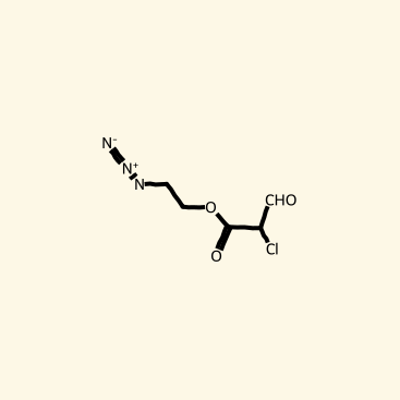 [N-]=[N+]=NCCOC(=O)C(Cl)C=O